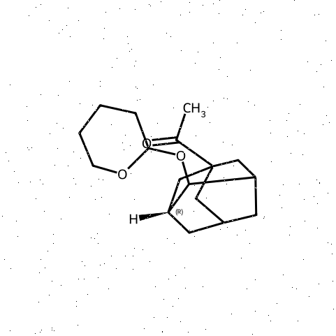 CC(=O)C12CC3CC(C1)C(OC1CCCCO1)[C@H](C3)C2